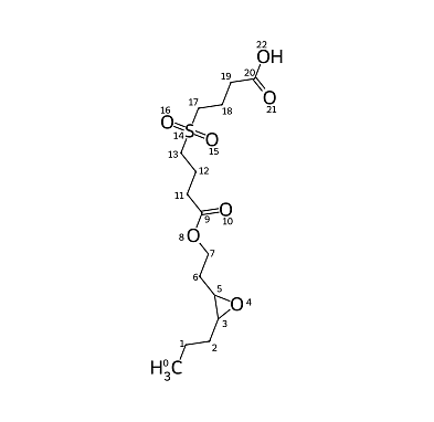 CCCC1OC1CCOC(=O)CCCS(=O)(=O)CCCC(=O)O